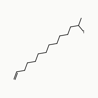 C=CCCCCCCCCCCC(C)I